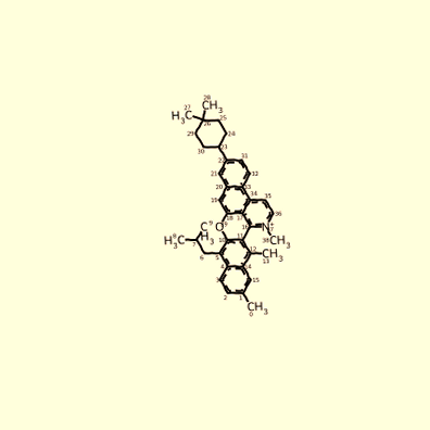 Cc1ccc2c(CC(C)C)c3c(c(C)c2c1)-c1c2c(cc4cc(C5CCC(C)(C)CC5)ccc4c2cc[n+]1C)O3